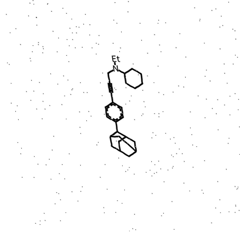 CCN(CC#Cc1ccc(C2C3CC4CC(C3)CC2C4)cc1)C1CCCCC1